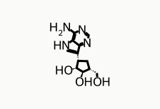 Nc1ncnc2c([C@@H]3C[C@H](CO)[C@@H](O)[C@@H]3O)c[nH]c12